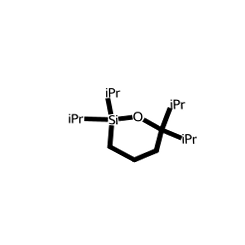 CC(C)C1(C(C)C)CCC[Si](C(C)C)(C(C)C)O1